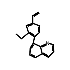 C=Cc1ccc(-c2cccc3cccnc23)c(CC)c1